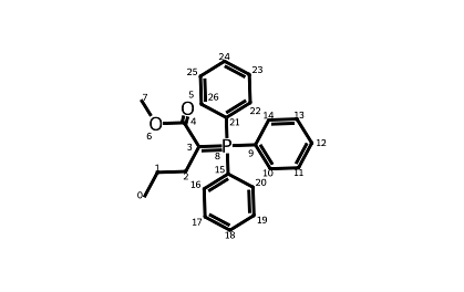 CCCC(C(=O)OC)=P(c1ccccc1)(c1ccccc1)c1ccccc1